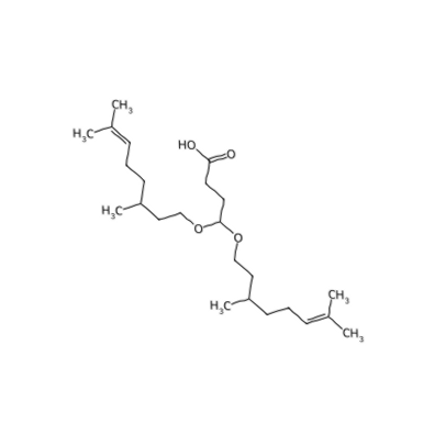 CC(C)=CCCC(C)CCOC(CCC(=O)O)OCCC(C)CCC=C(C)C